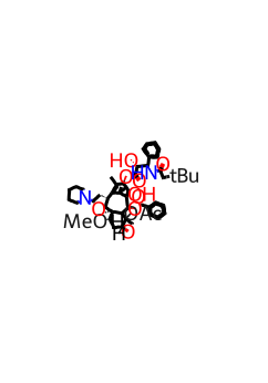 CO[C@H]1C[C@H]2OC[C@@]2(OC(C)=O)[C@H]2[C@H](OC(=O)c3ccccc3)[C@]3(O)C[C@H](OC(=O)[C@H](O)[C@@H](NC(=O)CC(C)(C)C)c4ccccc4)C(C)=C([C@@H](CCN4CCCCC4)C(=O)[C@]12C)C3(C)C